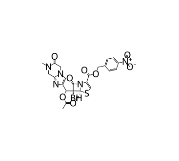 CC(=O)OC(c1cn2c(n1)CN(C)C(=O)C2)[C@]1(Br)C(=O)N2C(C(=O)OCc3ccc([N+](=O)[O-])cc3)=CS[C@H]21